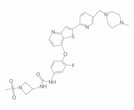 CN1CCN(Cc2ccc(-c3cc4nccc(Oc5ccc(NC(=O)NC6CN(S(C)(=O)=O)C6)cc5F)c4s3)nc2)CC1